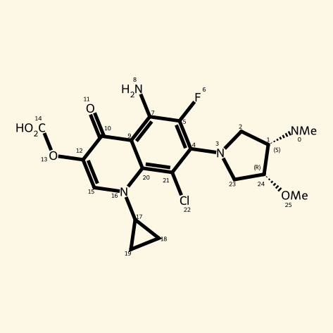 CN[C@H]1CN(c2c(F)c(N)c3c(=O)c(OC(=O)O)cn(C4CC4)c3c2Cl)C[C@H]1OC